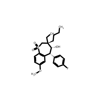 CCCC[C@]1(CC)CS(=O)(=O)c2ccc(OC)cc2[C@@H](c2ccc(F)cc2)[C@H]1O